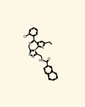 CCc1cc2c(s1)-n1c(nnc1CNC(=O)c1ccc3ccccc3c1)CN=C2c1ccccc1Cl